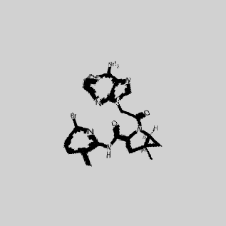 Cc1ccc(Br)nc1NC(=O)C1C[C@@]2(C)C[C@@H]2N1C(=O)Cn1cnc2c(N)ncnc21